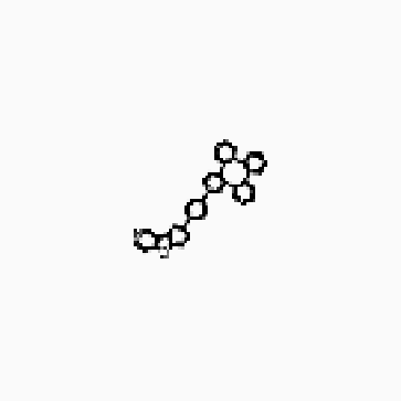 c1ccc2c(c1)-c1ccccc1-c1ccc(-c3ccc(-c4ccc5oc6ccncc6c5c4)cc3)cc1-c1ccccc1-2